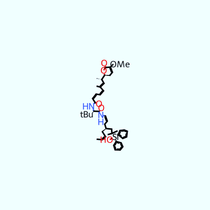 C/C=C\C[C@@H](C/C=C\NC(=O)[C@@H](NC(=O)\C=C/C=C\C(C)=C\[C@H](C)[C@@H]1CC=C(OC)C(=O)O1)C(C)(C)C)CC(C)(C)[Si](O)(c1ccccc1)c1ccccc1